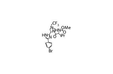 COC(=O)NC(C(=O)N1CN(CC(F)(F)F)CC1c1nc(-c2ccc(Br)cc2)c[nH]1)C(C)C